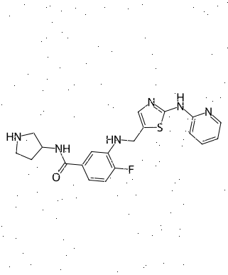 O=C(NC1CCNC1)c1ccc(F)c(NCc2cnc(Nc3ccccn3)s2)c1